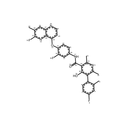 Cc1cc(F)ccc1-c1c(C)nc(C)c(C(=O)Nc2ccc(Oc3ccnc4cc(C)c(F)nc34)c(F)c2)c1O